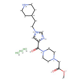 COC(=O)CN1CCN(C(=O)c2cn(CCC3CCNCC3)cn2)CC1.Cl.Cl.Cl